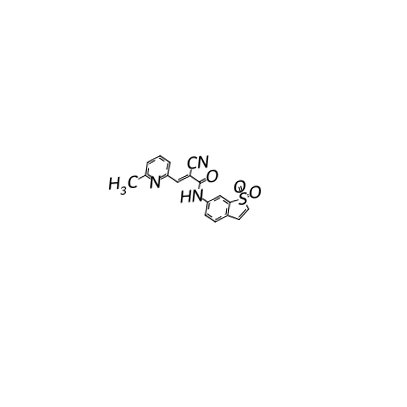 Cc1cccc(C=C(C#N)C(=O)Nc2ccc3c(c2)S(=O)(=O)C=C3)n1